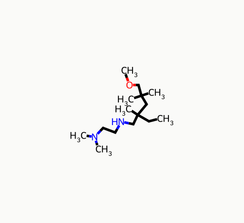 CCC(C)(CNCCN(C)C)CC(C)(C)COC